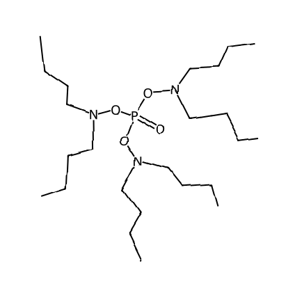 CCCCN(CCCC)OP(=O)(ON(CCCC)CCCC)ON(CCCC)CCCC